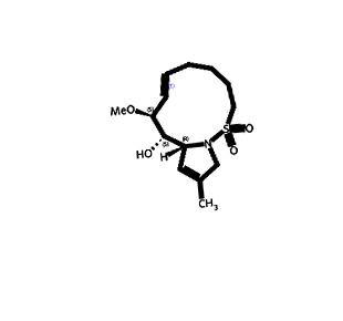 CO[C@H]1/C=C/CCCCS(=O)(=O)N2CC(C)=C[C@@H]2[C@@H]1O